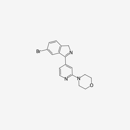 Brc1ccc2c(c1)C(c1ccnc(N3CCOCC3)c1)=NC2